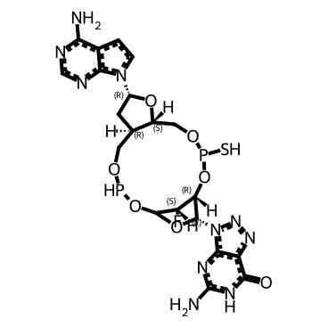 Nc1nc2c(nnn2[C@@H]2OC3OPOC[C@H]4C[C@H](n5ccc6c(N)ncnc65)O[C@@H]4COP(S)O[C@H]2[C@@H]3F)c(=O)[nH]1